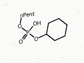 CCCCCOP(=O)(O)OC1CCCCC1